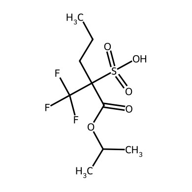 CCCC(C(=O)OC(C)C)(C(F)(F)F)S(=O)(=O)O